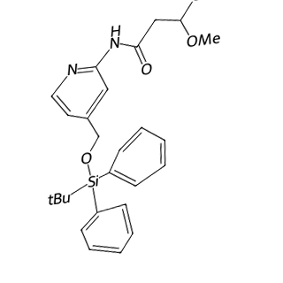 COC(CC(=O)Nc1cc(CO[Si](c2ccccc2)(c2ccccc2)C(C)(C)C)ccn1)OC